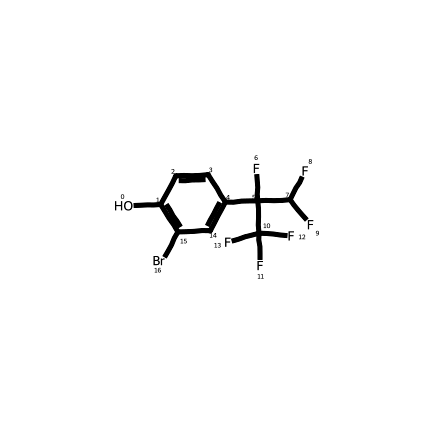 Oc1ccc(C(F)(C(F)F)C(F)(F)F)cc1Br